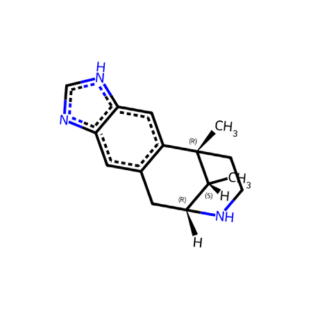 C[C@@H]1[C@H]2Cc3cc4nc[nH]c4cc3[C@]1(C)CCN2